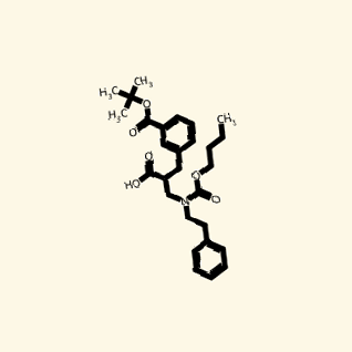 CCCCOC(=O)N(CCc1ccccc1)CC(Cc1cccc(C(=O)OC(C)(C)C)c1)C(=O)O